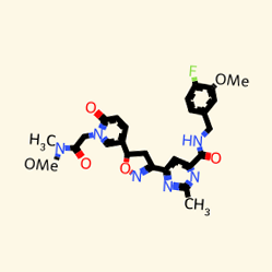 COc1cc(CNC(=O)c2cc(C3=NOC(c4ccc(=O)n(CC(=O)N(C)OC)c4)C3)nc(C)n2)ccc1F